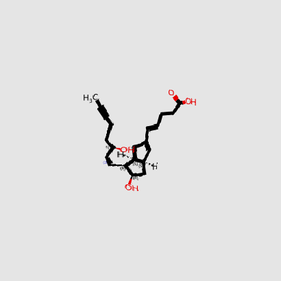 CC#CCC[C@H](O)/C=C\[C@H]1[C@H]2CC(C=CCCC(=O)O)=C[C@H]2C[C@H]1O